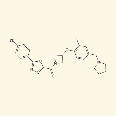 Cc1cc(CN2CCCC2)ccc1OC1CN(C(=O)c2nnc(-c3ccc(Cl)cc3)o2)C1